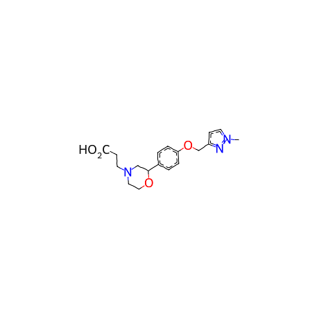 Cn1ccc(COc2ccc(C3CN(CCC(=O)O)CCO3)cc2)n1